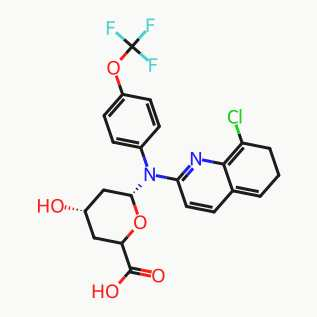 O=C(O)C1C[C@H](O)C[C@H](N(c2ccc(OC(F)(F)F)cc2)c2ccc3c(n2)=C(Cl)CCC=3)O1